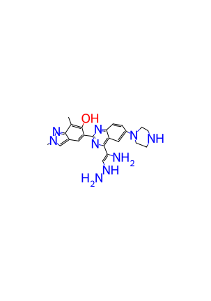 Cc1c(O)c(-c2nc(/C(N)=C/NN)c3cc(N4CCNCC4)ccc3n2)cc2cn(C)nc12